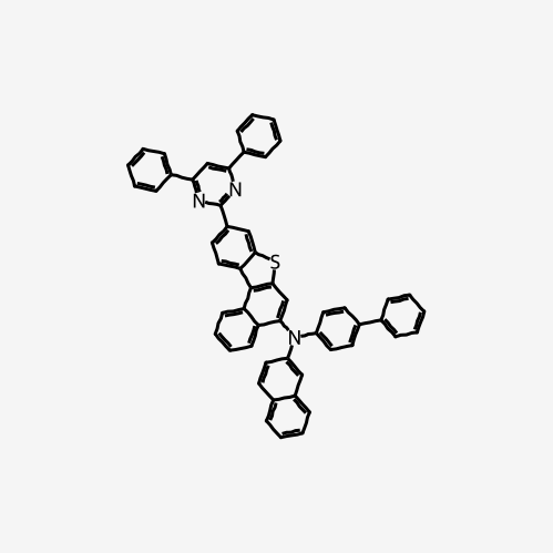 c1ccc(-c2ccc(N(c3ccc4ccccc4c3)c3cc4sc5cc(-c6nc(-c7ccccc7)cc(-c7ccccc7)n6)ccc5c4c4ccccc34)cc2)cc1